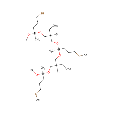 CCO[Si](C)(CCCS)OCC(CC)(COC(C)=O)CO[Si](C)(CCCSC(C)=O)OCC(CC)(COC(C)=O)CO[Si](C)(CCCSC(C)=O)OCC